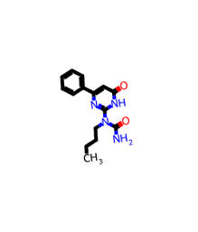 CCCCN(C(N)=O)c1nc(-c2ccccc2)cc(=O)[nH]1